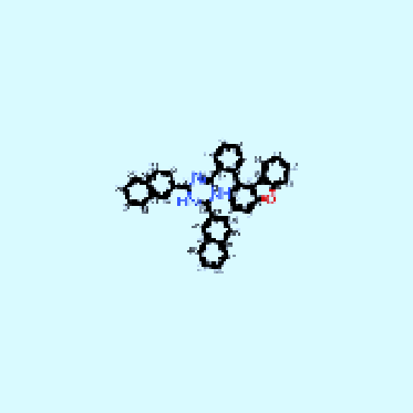 c1ccc(-c2cccc3oc4ccccc4c23)c(C2=NC(c3ccc4ccccc4c3)NC(c3ccc4ccccc4c3)N2)c1